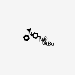 CC(C)(C)OC(=O)/N=C/C1CCC(N(c2ccccc2)C2CC2)CC1